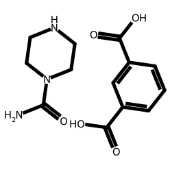 NC(=O)N1CCNCC1.O=C(O)c1cccc(C(=O)O)c1